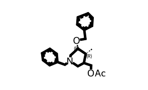 CC(=O)OCC1CN(Cc2ccccc2)C[C@H](OCc2ccccc2)[C@@H]1C